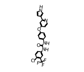 O=C(Nc1ccc(Oc2ccnc(-c3cc[nH]c3)c2)cc1)Nc1ccc(Cl)c(C(F)(F)F)c1